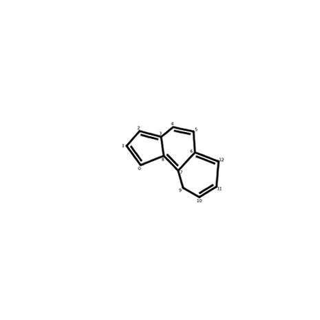 [C]1=CC=c2ccc3c(c21)CC=CC=3